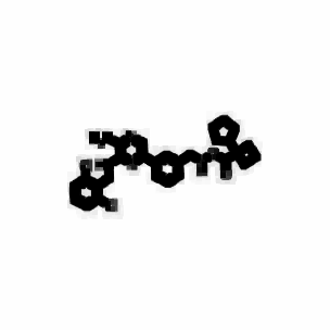 Nc1ncc(-c2cccc(CNOC(=O)C3(C4CCCC4)CCC3)c2)nc1NCc1c(Cl)cccc1Cl